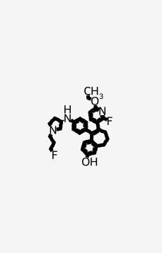 CCOc1ccc(C2=C(c3ccc(N[C@H]4CCN(CCCF)C4)cc3)c3ccc(O)cc3CCC2)c(F)n1